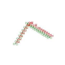 OCC(Cl)(Cl)CO.OCC(Cl)Cl.OCC(Cl)Cl.OCC(Cl)Cl.OCC(Cl)Cl.OCC(Cl)Cl.OCC(Cl)Cl.OCC(Cl)Cl.OCC(Cl)Cl.OCC(Cl)Cl.OCC(Cl)Cl.OCC(Cl)Cl.OCC(Cl)Cl.OCC(Cl)Cl.OCC(Cl)Cl.OCC(Cl)Cl.OCC(Cl)Cl.OCC(Cl)Cl.OCC(Cl)Cl.OCC(Cl)Cl